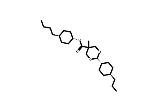 CCCC[C@H]1CC[C@H](OC(=O)C2(C)COC([C@H]3CC[C@H](CCC)CC3)OC2)CC1